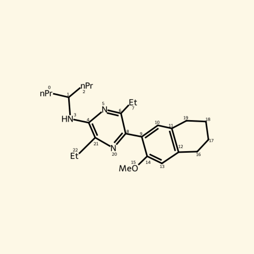 CCCC(CCC)Nc1nc(CC)c(-c2cc3c(cc2OC)CCCC3)nc1CC